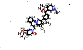 CCC(=O)C1=CN(CC(C)Cc2ccccc2N2C=CC(C)(C)C(c3cccc(C(=O)C4=CN(CC(C)C)CCC4(C)C)c3)C2)C(=O)CC1(C)C